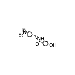 CCN(CC)c1ccc(/C=N/NC(=O)c2ccc(O)cc2)cc1